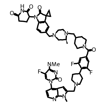 CNc1nc(=O)n(-c2ccnc3c2cc(CN2CCC(c4c(F)cc(C(=O)N5CCC(CN6CCN(Cc7ccc8c(c7)C7(CC7)C(=O)N8C7CCC(=O)NC7=O)C[C@@H]6C)CC5)cc4F)CC2)n3C)cc1F